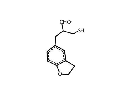 O=[C]C(CS)Cc1ccc2c(c1)CCO2